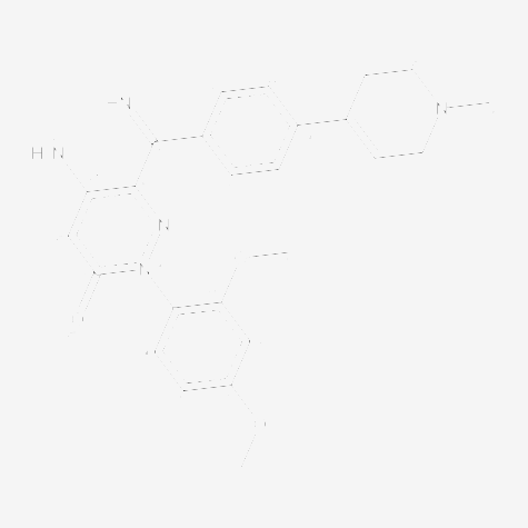 COc1ccc(-n2nc(C(=N)c3ccc(C4=CCN(C)CC4)cc3)c(N)cc2=O)c(OC)c1